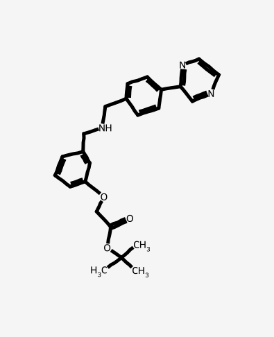 CC(C)(C)OC(=O)COc1cccc(CNCc2ccc(-c3cnccn3)cc2)c1